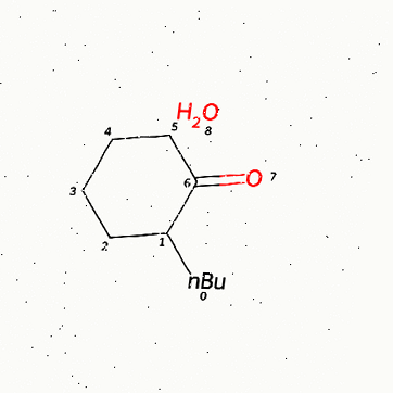 CCCCC1CCCCC1=O.O